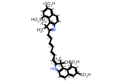 CC1(C)C(/C=C/C=C/C=C/C=C2/Nc3ccc4cc(S(=O)(=O)O)cc(S(=O)(=O)O)c4c3C2(C)C)=Nc2ccc3cc(S(=O)(=O)O)cc(S(=O)(=O)O)c3c21